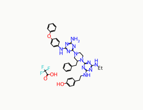 CCNc1nc(NCCc2ccc(O)cc2)nc(N2CCN(c3nc(N)nc(Nc4ccc(Oc5ccccc5)cc4)n3)CC2Cc2ccccc2)n1.O=C(O)C(F)(F)F